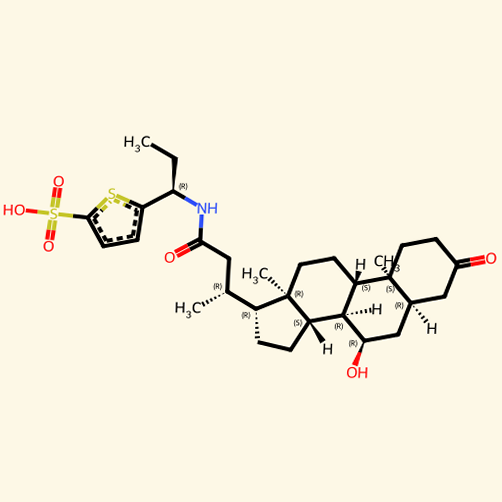 CC[C@@H](NC(=O)C[C@@H](C)[C@H]1CC[C@H]2[C@@H]3[C@H](O)C[C@@H]4CC(=O)CC[C@]4(C)[C@H]3CC[C@]12C)c1ccc(S(=O)(=O)O)s1